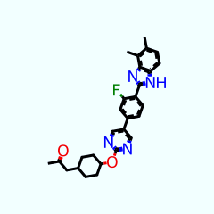 CC(=O)CC1CCC(Oc2ncc(-c3ccc(-c4nc5c(C)c(C)ccc5[nH]4)c(F)c3)cn2)CC1